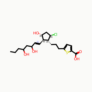 CCCC(O)CC(O)/C=C/[C@@H]1[C@@H](CCCc2ccc(C(=O)O)s2)[C@H](Cl)C[C@H]1O